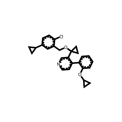 Clc1ccc(C2CC2)cc1COC1(c2cnccc2-c2ccccc2OC2CC2)CC1